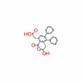 O=Ic1c(CC(=O)O)cc(-c2ccccc2)c(-c2ccccc2)c1CC(=O)O